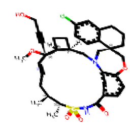 CO[C@@]1(C#CCO)/C=C/C[C@H](C)[C@@H](C)S(=O)(=O)NC(=O)c2ccc3c(c2)N(C[C@@H]2CC[C@H]21)C[C@@]1(CCCc2cc(Cl)ccc21)CO3